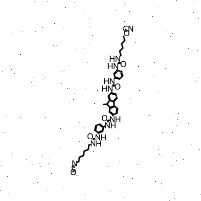 CC1c2cc(NC(=O)Nc3cccc(NC(=O)NCCCCCCN=C=O)c3)ccc2-c2ccc(NC(=O)Nc3cccc(NC(=O)NCCCCCCOC#N)c3)cc21